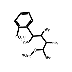 CCCCCCCCOC(CCC)C(CCC)C(CCC)C(CCC)c1ccccc1C(=O)O